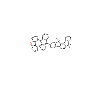 CC1(C)c2ccccc2-c2c1ccc1c2C(C)(C)c2cc(-c3c4ccccc4c(-c4cccc5oc6ccccc6c45)c4ccccc34)ccc2-1